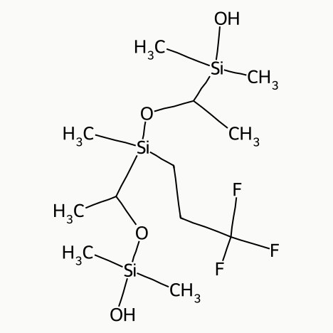 CC(O[Si](C)(CCC(F)(F)F)C(C)O[Si](C)(C)O)[Si](C)(C)O